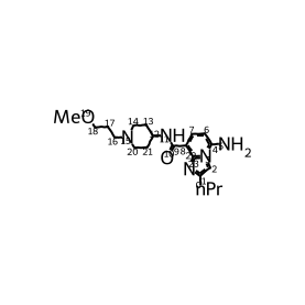 CCCc1cn2c(N)ccc(C(=O)NC3CCN(CCCOC)CC3)c2n1